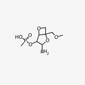 BC1OC2(COC)COC2C1OP(C)(=O)O